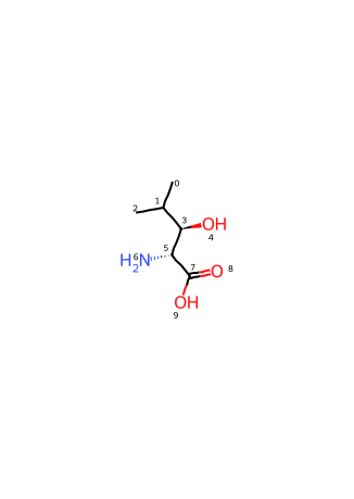 CC(C)[C@@H](O)[C@@H](N)C(=O)O